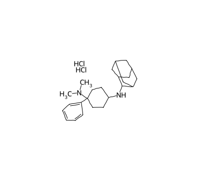 CN(C)C1(c2ccccc2)CCC(NC2C3CC4CC(C3)CC2C4)CC1.Cl.Cl